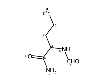 CC(C)CCC(NC=O)C(N)=O